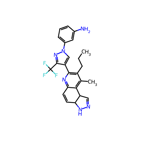 CCCc1c(-c2cn(-c3cccc(N)c3)nc2C(F)(F)F)nc2c(c1C)C1C=NNC1C=C2